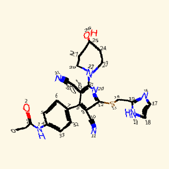 CC(=O)Nc1ccc(-c2c(C#N)c(SCc3ncc[nH]3)nc(N3CCC(O)CC3)c2C#N)cc1